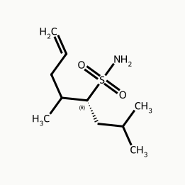 C=CCC(C)[C@@H](CC(C)C)S(N)(=O)=O